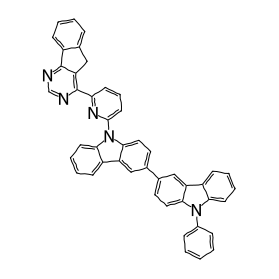 c1ccc(-n2c3ccccc3c3cc(-c4ccc5c(c4)c4ccccc4n5-c4cccc(-c5ncnc6c5Cc5ccccc5-6)n4)ccc32)cc1